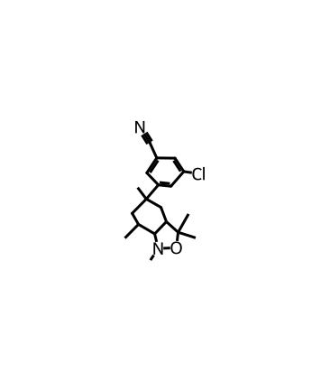 CC1CC(C)(c2cc(Cl)cc(C#N)c2)CC2C1N(C)OC2(C)C